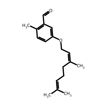 CC(C)=CCCC(C)=CCOc1ccc(C)c(C=O)c1